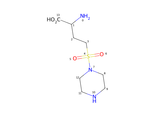 NC(CCS(=O)(=O)N1CCNCC1)C(=O)O